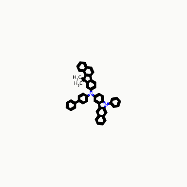 CC1(C)c2cc(N(c3ccc(-c4ccccc4)cc3)c3ccc4c(c3)c3cc5ccccc5cc3n4-c3ccccc3)ccc2-c2ccc3ccccc3c21